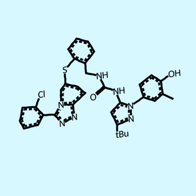 Cc1cc(-n2nc(C(C)(C)C)cc2NC(=O)NCc2ccccc2Sc2ccc3nnc(-c4ccccc4Cl)n3c2)ccc1O